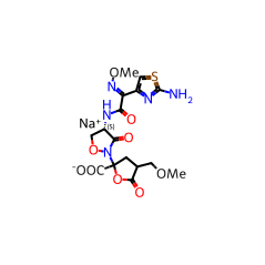 COCC1CC(C(=O)[O-])(N2OC[C@H](NC(=O)C(=NOC)c3csc(N)n3)C2=O)OC1=O.[Na+]